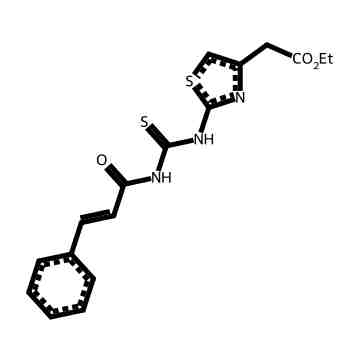 CCOC(=O)Cc1csc(NC(=S)NC(=O)C=Cc2ccccc2)n1